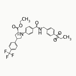 CCOC(=O)[C@@H]1CC(c2ccc(C(F)(F)F)cc2)CN1c1ccc(C(=O)NCc2ccc(S(=O)(=O)CC)cc2)cc1